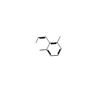 CCCC/C=[C]\c1c(C)cccc1C